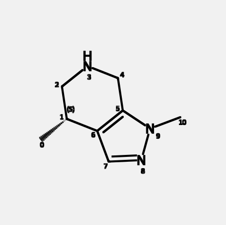 C[C@@H]1CNCc2c1cnn2C